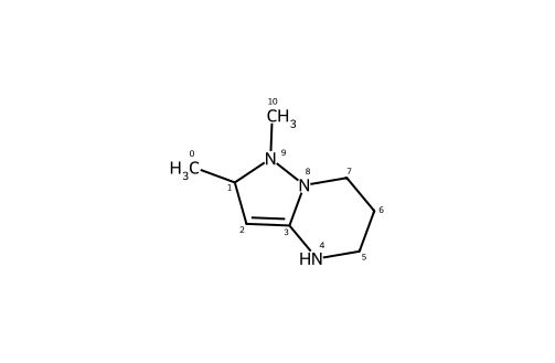 CC1C=C2NCCCN2N1C